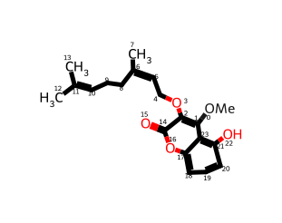 COc1c(OCC=C(C)CCC=C(C)C)c(=O)oc2cccc(O)c12